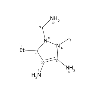 CCC1C(N)=C(N)N(C)N1CN